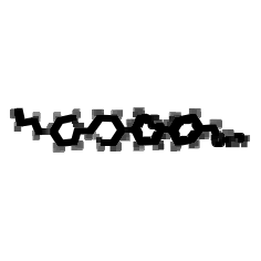 C=CCC[C@H]1CC[C@H]([C@H]2CC[C@H](c3ccc(-c4ccc(COCCC)cc4)cc3)CC2)CC1